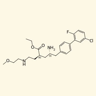 CCOC(=O)[C@H](CCNCCOC)C[C@H](N)Cc1ccc(-c2cc(Cl)ccc2F)cc1